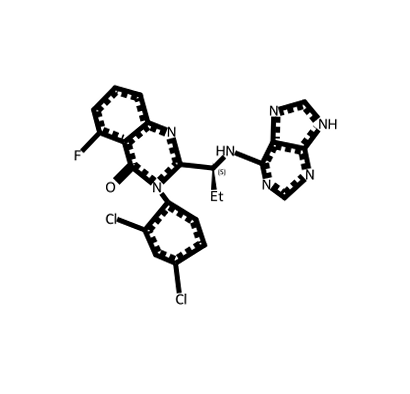 CC[C@H](Nc1ncnc2[nH]cnc12)c1nc2cccc(F)c2c(=O)n1-c1ccc(Cl)cc1Cl